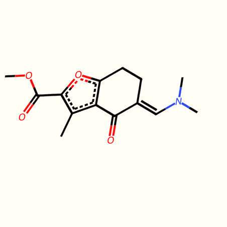 COC(=O)c1oc2c(c1C)C(=O)/C(=C/N(C)C)CC2